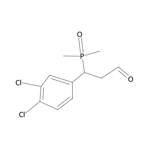 CP(C)(=O)C(CC=O)c1ccc(Cl)c(Cl)c1